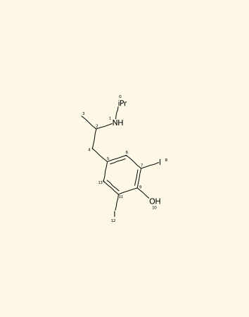 CC(C)NC(C)Cc1cc(I)c(O)c(I)c1